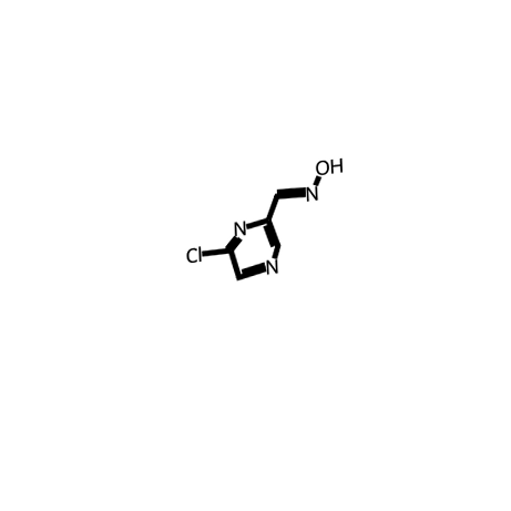 ON=Cc1cncc(Cl)n1